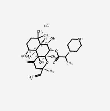 C=C[C@@]1(C)CC(=O)[C@]2(O)[C@@]3(C)[C@@H](O)CCC(C)(C)[C@@H]3[C@H](O)[C@H](OC(=O)C(C)N3CCNCC3)[C@@]2(C)O1.Cl